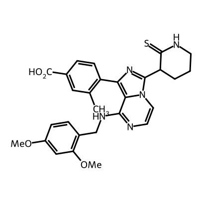 COc1ccc(CNc2nccn3c(C4CCCNC4=S)nc(-c4ccc(C(=O)O)cc4C)c23)c(OC)c1